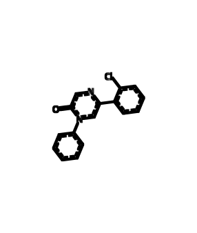 O=c1cnc(-c2ccccc2Cl)cn1-c1ccccc1